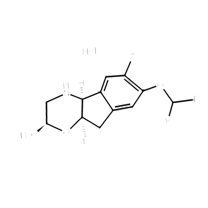 C[C@H]1CN[C@H]2c3cc(F)c(OC(F)F)cc3C[C@H]2O1.Cl